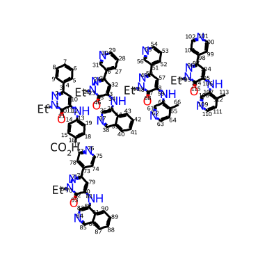 CCn1nc(-c2ccccc2)cc(Nc2ccc(C(=O)O)cc2)c1=O.CCn1nc(-c2cccnc2)cc(Nc2cncc3ccccc23)c1=O.CCn1nc(-c2cccnc2)cc(Nc2cnccc2C)c1=O.CCn1nc(-c2ccncc2)cc(Nc2cncc3ccccc23)c1=O.CCn1nc(-c2ccncc2)cc(Nc2cnccc2C)c1=O